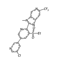 CCS(=O)(=O)c1cc(-c2cncc(Cl)c2)cnc1-c1nc2cc(C(F)(F)F)ncc2n1C